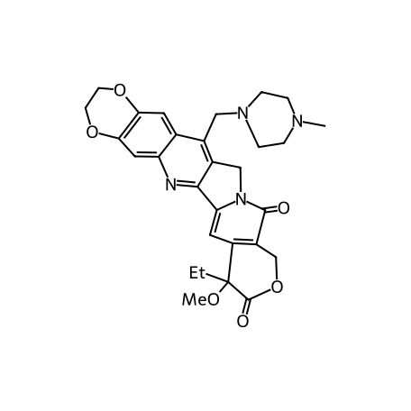 CCC1(OC)C(=O)OCc2c1cc1n(c2=O)Cc2c-1nc1cc3c(cc1c2CN1CCN(C)CC1)OCCO3